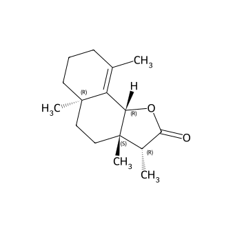 CC1=C2[C@@H]3OC(=O)[C@H](C)[C@]3(C)CC[C@@]2(C)CCC1